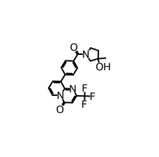 CC1(O)CCN(C(=O)c2ccc(-c3cccn4c(=O)cc(C(F)(F)F)nc34)cc2)C1